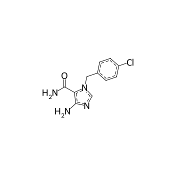 NC(=O)c1c(N)ncn1Cc1ccc(Cl)cc1